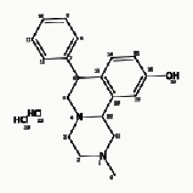 CN1CCN2CC(c3ccccc3)c3ccc(O)cc3C2C1.Cl.Cl